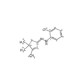 CC1=C/C(=N\Nc2ccccc2Cl)CC1(C)C